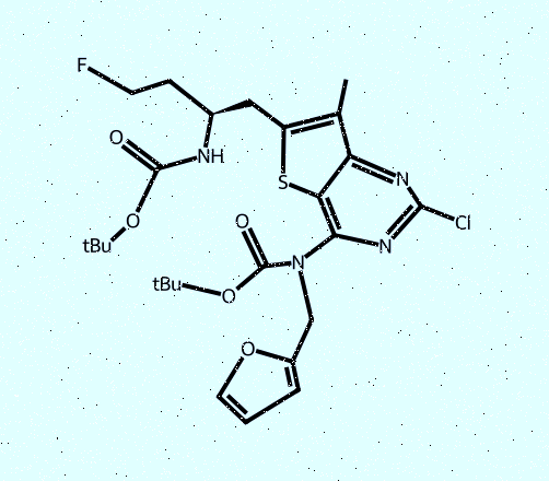 Cc1c(C[C@H](CCF)NC(=O)OC(C)(C)C)sc2c(N(Cc3ccco3)C(=O)OC(C)(C)C)nc(Cl)nc12